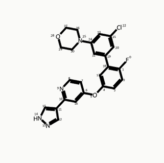 Fc1ccc(Oc2ccnc(-c3cn[nH]c3)c2)cc1-c1cc(Cl)cc(N2CCOCC2)c1